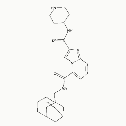 O=C(NC1CCNCC1)c1cn2c(C(=O)NCC34CC5CC(CC(C5)C3)C4)cccc2n1